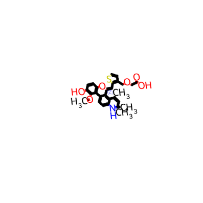 COc1c(O)ccc2c1-c1ccc3c(c1/C(=C/c1sccc1COCC(=O)O)O2)C(C)=CC(C)(C)N3